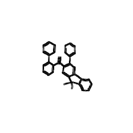 CC1(C)c2ccccc2-c2cc(-c3ccccc3)c(Nc3ccccc3-c3ccccc3)cc21